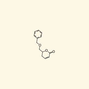 O=C1C=CCC(COCc2ccccc2)O1